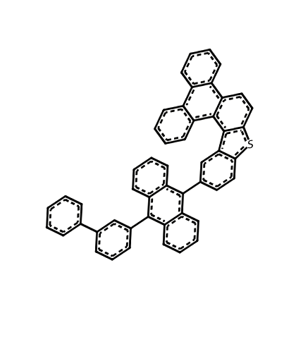 c1ccc(-c2cccc(-c3c4ccccc4c(-c4ccc5sc6ccc7c8ccccc8c8ccccc8c7c6c5c4)c4ccccc34)c2)cc1